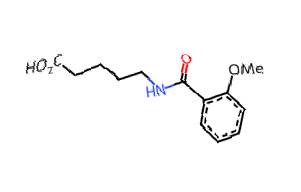 COc1ccccc1C(=O)NCCCCC(=O)O